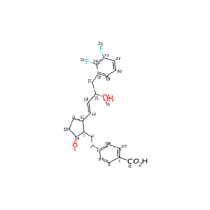 O=C(O)c1ccc(CCC2C(=O)CCC2C=CC(O)Cc2cccc(F)c2F)cc1